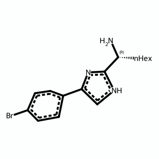 CCCCCC[C@@H](N)c1nc(-c2ccc(Br)cc2)c[nH]1